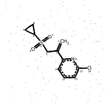 C=C(CS(=O)(=O)C1CC1)c1cccc(Cl)n1